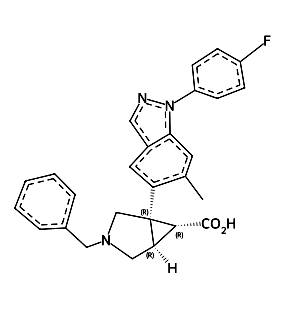 Cc1cc2c(cnn2-c2ccc(F)cc2)cc1[C@@]12CN(Cc3ccccc3)C[C@@H]1[C@H]2C(=O)O